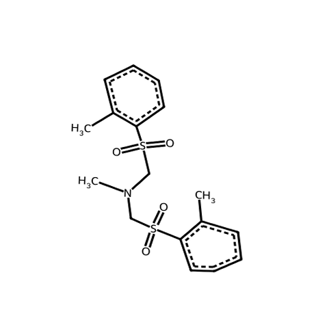 Cc1ccccc1S(=O)(=O)CN(C)CS(=O)(=O)c1ccccc1C